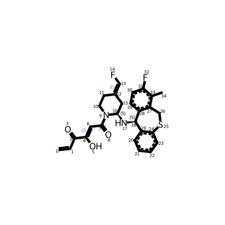 C=CC(=O)/C(O)=C/C(=O)N1CC/C(=C\F)C[C@H]1N[C@@H]1c2ccccc2SCc2c1ccc(F)c2C